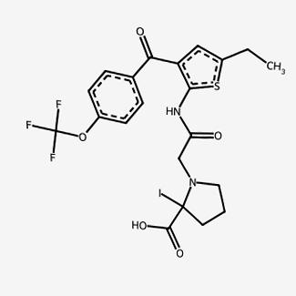 CCc1cc(C(=O)c2ccc(OC(F)(F)F)cc2)c(NC(=O)CN2CCCC2(I)C(=O)O)s1